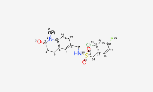 CCCN1C(=O)CCc2cc(CNS(=O)(=O)Cc3ccc(F)cc3Cl)ccc21